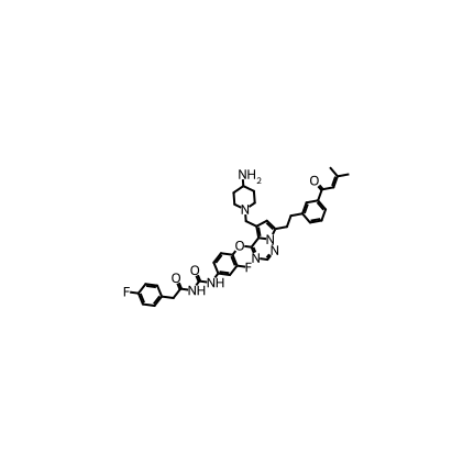 CC(C)=CC(=O)c1cccc(CCc2cc(CN3CCC(N)CC3)c3c(Oc4ccc(NC(=O)NC(=O)Cc5ccc(F)cc5)cc4F)ncnn23)c1